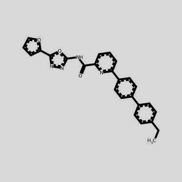 CCc1ccc(-c2ccc(-c3cccc(C(=O)Nc4nnc(-c5ccco5)o4)n3)cc2)cc1